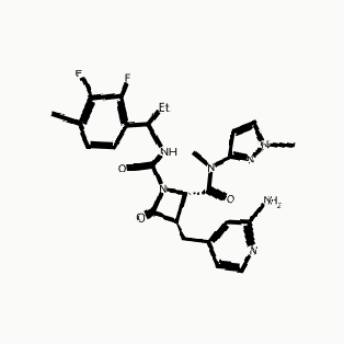 CCC(NC(=O)N1C(=O)[C@H](Cc2ccnc(N)c2)[C@H]1C(=O)N(C)c1ccn(C)n1)c1ccc(C)c(F)c1F